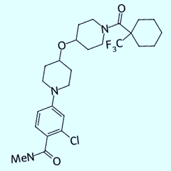 CNC(=O)c1ccc(N2CCC(OC3CCN(C(=O)C4(C(F)(F)F)CCCCC4)CC3)CC2)cc1Cl